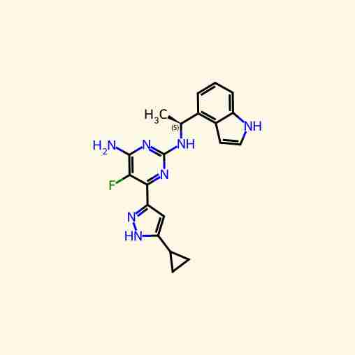 C[C@H](Nc1nc(N)c(F)c(-c2cc(C3CC3)[nH]n2)n1)c1cccc2[nH]ccc12